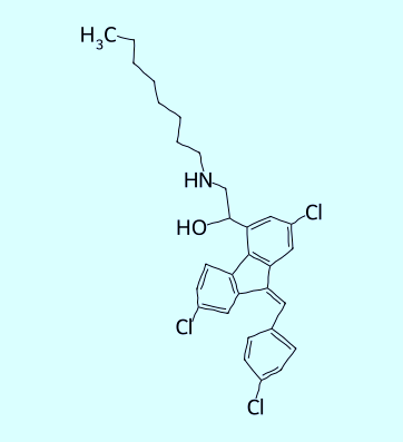 CCCCCCCCNCC(O)c1cc(Cl)cc2c1-c1ccc(Cl)cc1C2=Cc1ccc(Cl)cc1